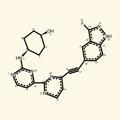 O[C@H]1CC[C@@H](Nc2nccc(-c3nccc(C#Cc4ccc5[nH]nc(F)c5c4)n3)n2)CC1